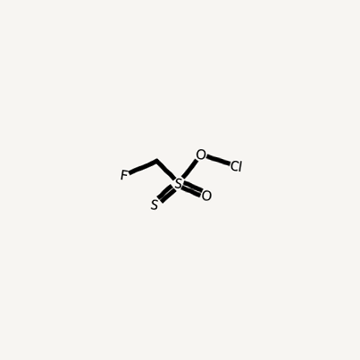 O=S(=S)(CF)OCl